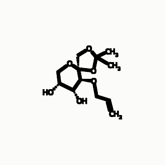 C=CCO[C@H]1[C@H](O)[C@H](O)CO[C@]12COC(C)(C)O2